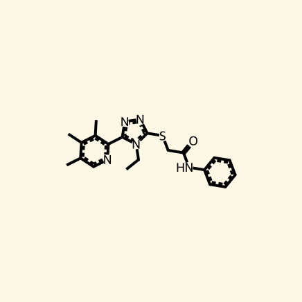 CCn1c(SCC(=O)Nc2ccccc2)nnc1-c1ncc(C)c(C)c1C